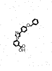 O=C(O)c1cccc(-n2cnc(-c3ccc(OCc4ccccc4)cc3)c2)c1